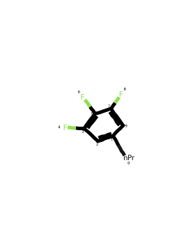 [CH2]CCc1cc(F)c(F)c(F)c1